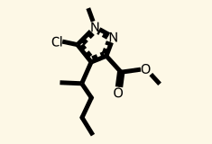 CCCC(C)c1c(C(=O)OC)nn(C)c1Cl